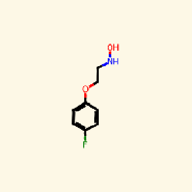 ONCCOc1ccc(F)cc1